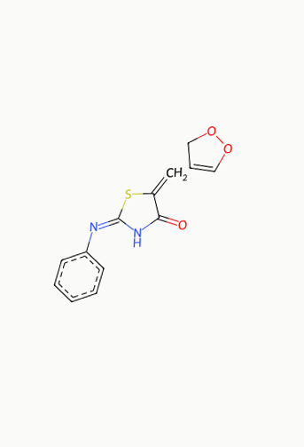 C1=COOC1.C=C1SC(=Nc2ccccc2)NC1=O